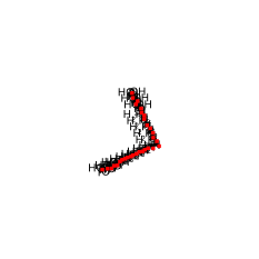 CN(C)P.CN(C)P.CN(C)P.CN(C)P.CN(C)P.CN(C)P.CN(C)P.CN(C)P.CN(C)P.CN(C)P.CN(C)P.CN(C)P.O=P(O)(O)F.O=P(O)(O)F.O=P(O)(O)F.O=P(O)(O)F.O=P(O)(O)F.O=P(O)(O)F